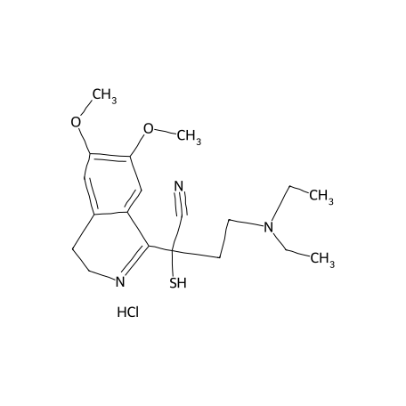 CCN(CC)CCC(S)(C#N)C1=NCCc2cc(OC)c(OC)cc21.Cl